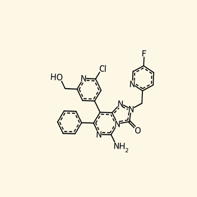 Nc1nc(-c2ccccc2)c(-c2cc(Cl)nc(CO)c2)c2nn(Cc3ccc(F)cn3)c(=O)n12